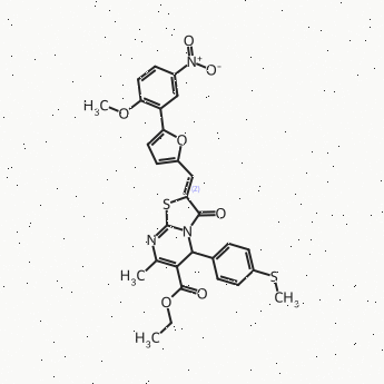 CCOC(=O)C1=C(C)N=c2s/c(=C\c3ccc(-c4cc([N+](=O)[O-])ccc4OC)o3)c(=O)n2C1c1ccc(SC)cc1